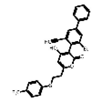 C#Cc1cc(-c2ccccc2)cc(CC)c1-c1c(O)cc(CCSc2ccc(C(F)(F)F)cc2)oc1=O